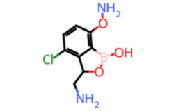 NCC1OB(O)c2c(ON)ccc(Cl)c21